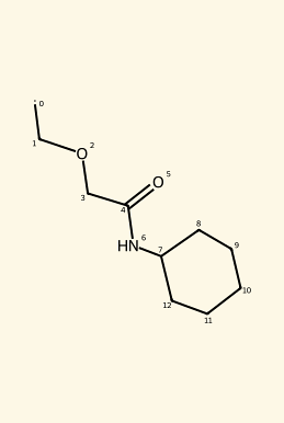 [CH2]COCC(=O)NC1CCCCC1